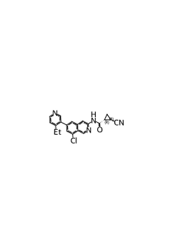 CCc1ccncc1-c1cc(Cl)c2cnc(NC(=O)[C@@H]3C[C@H]3C#N)cc2c1